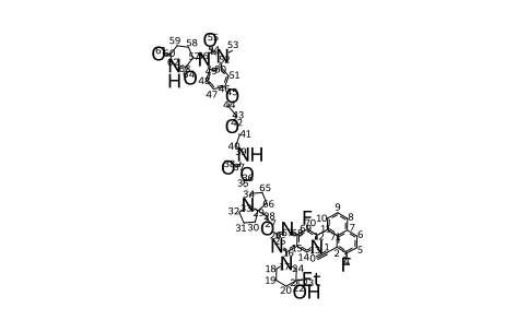 C#Cc1c(F)ccc2cccc(-c3ncc4c(N5CCC[C@](O)(CC)C5)nc(OC[C@@]56CCCN5[C@H](COC(=O)NCCOCCOc5ccc7c(c5)n(C)c(=O)n7C5CCC(=O)NC5=O)CC6)nc4c3F)c12